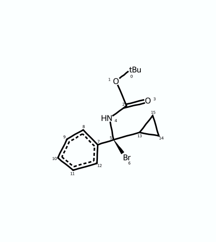 CC(C)(C)OC(=O)N[C@@](Br)(c1ccccc1)C1CC1